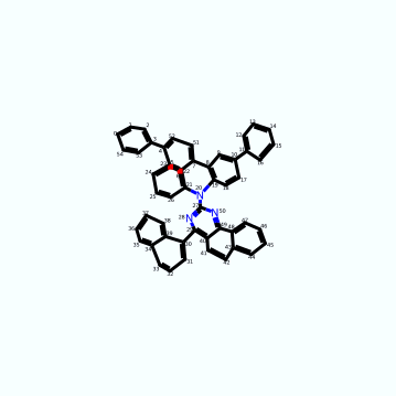 c1ccc(-c2ccc(-c3cc(-c4ccccc4)ccc3N(c3ccccc3)c3nc(-c4cccc5ccccc45)c4ccc5ccccc5c4n3)cc2)cc1